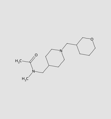 CC(=O)N(C)CC1CCN(CC2CCCOC2)CC1